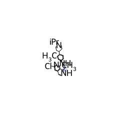 C/C=C1/NC=Cc2cc(Cl)nc(Nc3ccc(C4CCN(C(C)C)CC4)c(C)c3)c21